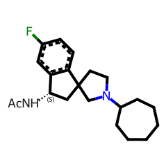 CC(=O)N[C@H]1CC2(CCN(C3CCCCCC3)C2)c2ccc(F)cc21